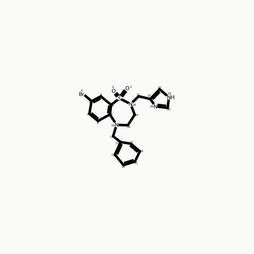 O=S1(=O)c2cc(Br)ccc2N(Cc2ccccc2)CCN1Cc1c[nH]cn1